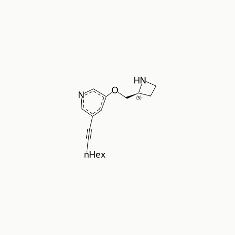 CCCCCCC#Cc1cncc(OC[C@@H]2CCN2)c1